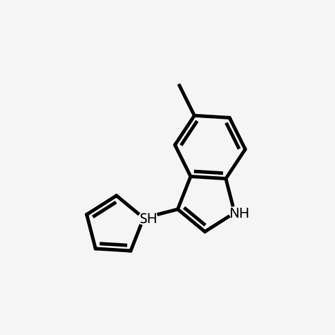 Cc1ccc2[nH]cc([SH]3C=CC=C3)c2c1